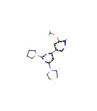 C[C@H]1C[S+]([O-])CCN1c1cc(-c2cnc(N)c(OC(F)F)c2)nc(N2CC[C@@H](F)C2)n1